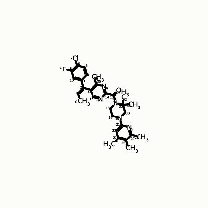 C/C=C(/c1ccc(Cl)c(F)c1)c1cnc(C(=O)N2CCN(c3cc(C)c(C)c(C)n3)CC2(C)C)nc1C